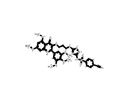 COc1cc(OC)c2c(=O)c(OCCCSc3nnc(OS(=O)(=O)c4ccc(C#N)cc4)o3)c(-c3cc(OC)c(OC)c(OC)c3)oc2c1